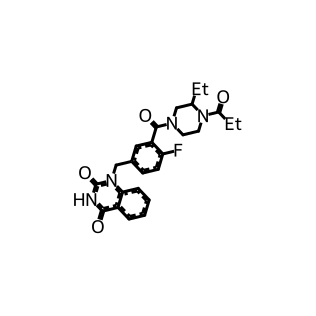 CCC(=O)N1CCN(C(=O)c2cc(Cn3c(=O)[nH]c(=O)c4ccccc43)ccc2F)CC1CC